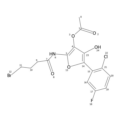 CC(=O)Oc1c(NC(=O)CCCBr)oc(-c2cc(F)ccc2Cl)c1O